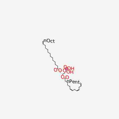 CCCCC/C=C\C/C=C\C/C=C\CCCCC(=O)O[C@H](COC(=O)CCCCCCCCCCC/C=C\CCCCCCCC)COP(=O)(O)O